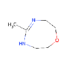 C/C1=N/CCOCCN1